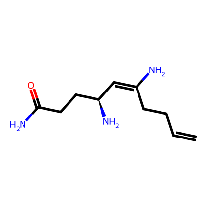 C=CCC/C(N)=C\[C@@H](N)CCC(N)=O